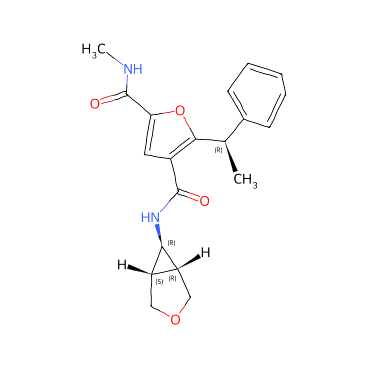 CNC(=O)c1cc(C(=O)N[C@H]2[C@@H]3COC[C@@H]32)c([C@H](C)c2ccccc2)o1